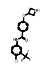 O=C(Nc1ccc(Cl)c(C(F)(F)F)c1)c1ccc(OC2CNC2)cc1